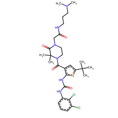 CN(C)CCCNC(=O)CN1CCN(C(=O)c2cc(C(C)(C)C)sc2NC(=O)Nc2cccc(Cl)c2Cl)C(C)(C)C1=O